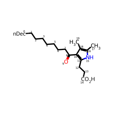 CCCCCCCCCCCCCCCCCC(=O)c1c(CCC(=O)O)[nH]c(C)c1C